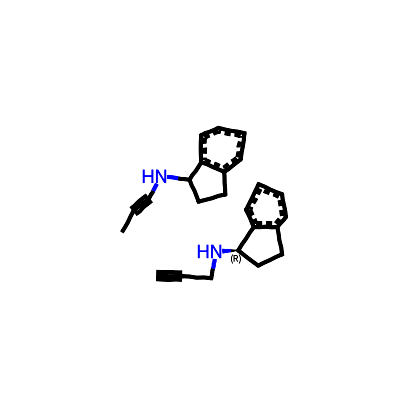 C#CCN[C@@H]1CCc2ccccc21.CC#CNC1CCc2ccccc21